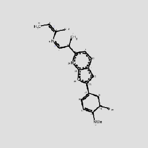 C/C=C(F)\N=C/C(C)c1ccc2cc(C3=CC=C(NC)C(F)C3)sc2n1